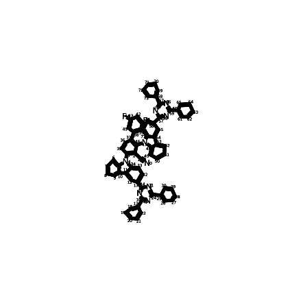 N#Cc1c(-n2c3ccccc3c3cc(-c4nc(-c5ccccc5)nc(-c5ccccc5)n4)ccc32)ccc(-c2cc(F)cc(F)c2)c1-n1c2ccccc2c2cc(-c3nc(-c4ccccc4)nc(-c4ccccc4)n3)ccc21